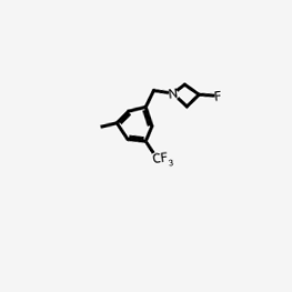 Cc1cc(CN2CC(F)C2)cc(C(F)(F)F)c1